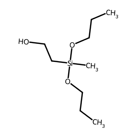 CCCO[Si](C)(CCO)OCCC